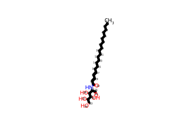 CCCCCCCCCCCCCCCCCC=CC=CC(=O)N[C@@H](C=O)[C@@H](O)[C@H](O)[C@H](O)CO